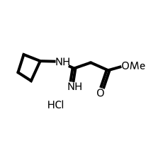 COC(=O)CC(=N)NC1CCC1.Cl